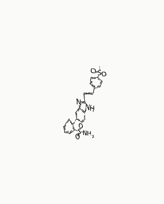 CS(=O)(=O)c1ccc(/C=C/c2nc3cc(-c4ccccc4S(N)(=O)=O)ccc3[nH]2)cc1